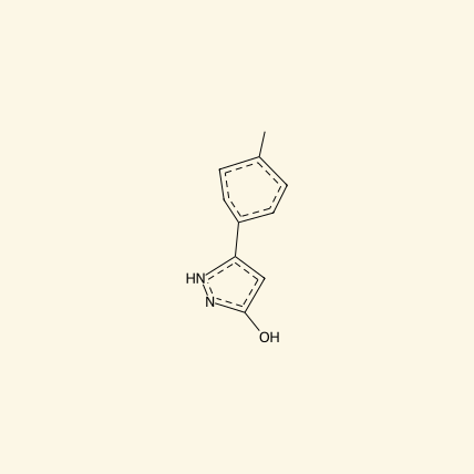 Cc1ccc(-c2cc(O)n[nH]2)cc1